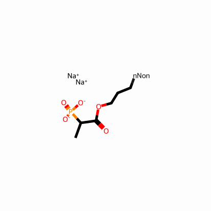 CCCCCCCCCCCCOC(=O)C(C)P(=O)([O-])[O-].[Na+].[Na+]